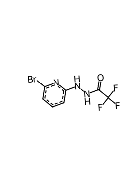 O=C(NNc1cccc(Br)n1)C(F)(F)F